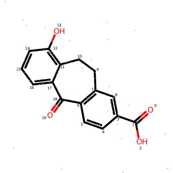 O=C(O)c1ccc2c(c1)CCc1c(O)cccc1C2=O